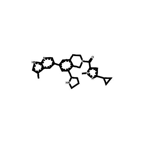 Cc1c[nH]c2ncc(-c3cc4c(c(C5CCCN5)c3)CN(C(=O)c3cc(C5CC5)nn3C)CC4)cc12